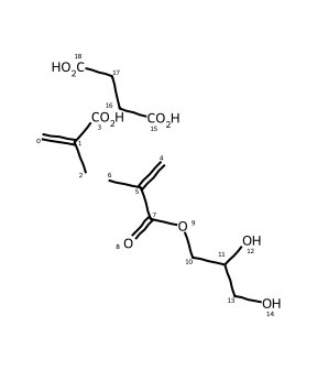 C=C(C)C(=O)O.C=C(C)C(=O)OCC(O)CO.O=C(O)CCC(=O)O